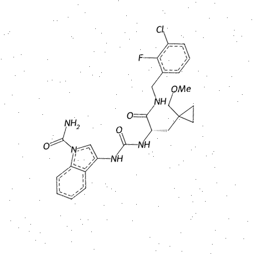 COCC1(C[C@H](NC(=O)Nc2cn(C(N)=O)c3ccccc23)C(=O)NCc2cccc(Cl)c2F)CC1